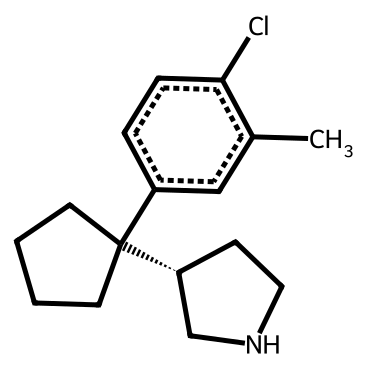 Cc1cc(C2([C@@H]3CCNC3)CCCC2)ccc1Cl